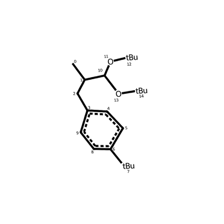 CC(Cc1ccc(C(C)(C)C)cc1)C(OC(C)(C)C)OC(C)(C)C